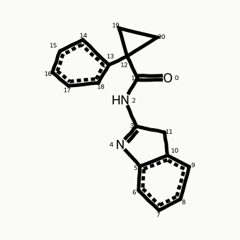 O=C(NC1=Nc2ccccc2C1)C1(c2ccccc2)CC1